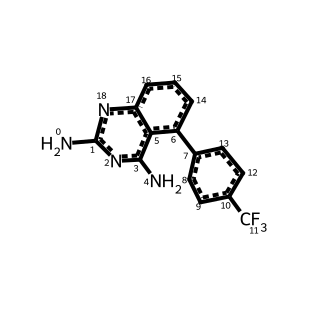 Nc1nc(N)c2c(-c3ccc(C(F)(F)F)cc3)cccc2n1